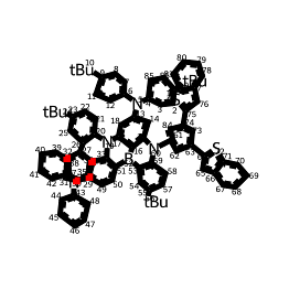 CC(C)(C)c1ccc(N(c2ccc(C(C)(C)C)cc2)c2cc3c4c(c2)N(c2ccc(C(C)(C)C)cc2-c2ccccc2)c2cc(N(c5ccccc5)c5ccccc5)ccc2B4c2cc(C(C)(C)C)ccc2N3c2cc(-c3cc4ccccc4s3)cc(-c3cc4ccccc4s3)c2)cc1